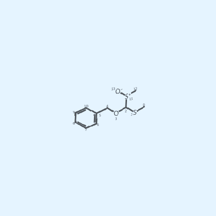 CSC(OCc1ccccc1)[S+](C)[O-]